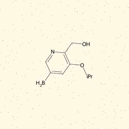 Bc1cnc(CO)c(OC(C)C)c1